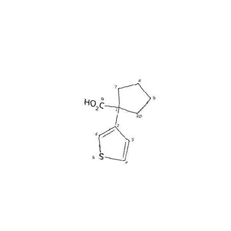 O=C(O)C1(c2ccsc2)CCCC1